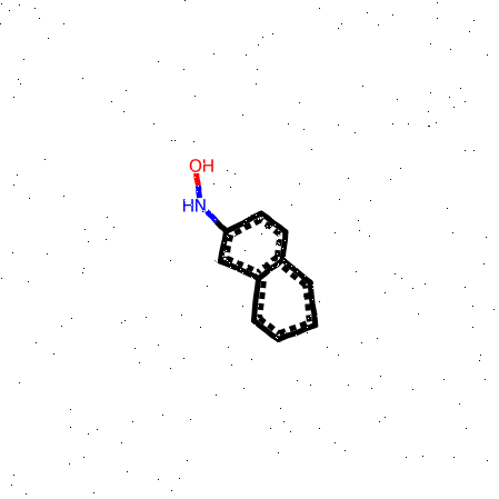 ONc1[c]c2ccccc2cc1